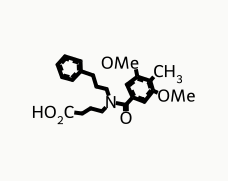 COc1cc(C(=O)N(CCCC(=O)O)CCCc2ccccc2)cc(OC)c1C